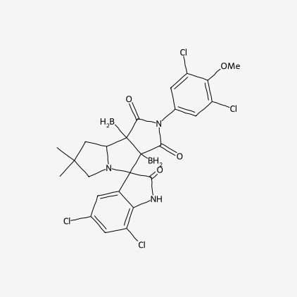 BC12C(=O)N(c3cc(Cl)c(OC)c(Cl)c3)C(=O)C1(B)C1(C(=O)Nc3c(Cl)cc(Cl)cc31)N1CC(C)(C)CC12